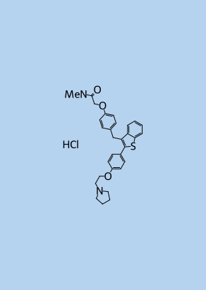 CNC(=O)COc1ccc(Cc2c(-c3ccc(OCCN4CCCC4)cc3)sc3ccccc23)cc1.Cl